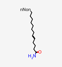 CCCCCCCCCCCCCCCCC=CCCCC(N)=O